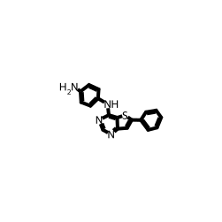 Nc1ccc(Nc2ncnc3cc(-c4ccccc4)sc23)cc1